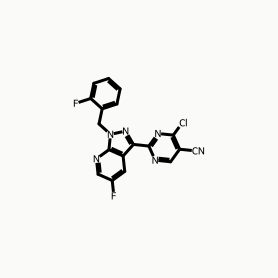 N#Cc1cnc(-c2nn(Cc3ccccc3F)c3ncc(F)cc23)nc1Cl